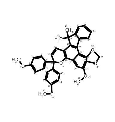 COc1ccc(C2(c3ccc(OC)cc3)C=Cc3c4c(c5c6c(c(OC)cc5c3O2)OCO6)-c2ccccc2C4(C)C)cc1